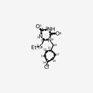 CCSc1nc(=O)[nH]c(=O)n1Cc1ccc(Cl)cc1